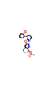 COc1ccccc1-c1cccnc1Oc1cnc2c(c1)CCCC2OC(C)=O